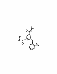 CNC(=O)c1cc(C(=O)OC(C)(C)C)cc(Cc2ccccc2OC)n1